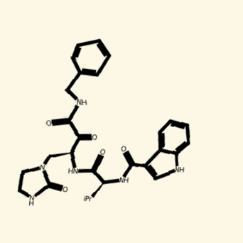 CC(C)[C@H](NC(=O)c1c[nH]c2ccccc12)C(=O)N[C@@H](CN1CCNC1=O)C(=O)C(=O)NCc1ccccc1